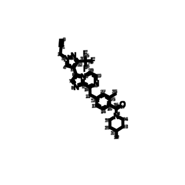 C#CCn1cc(-c2cnc3c(Cc4ccc(C(=O)N5CCC(C)CC5)c(C)c4)nccn23)c(C(F)(F)F)n1